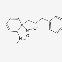 CN(C)C1[C]=CC=CC1(CCCc1ccccc1)[N+](=O)[O-]